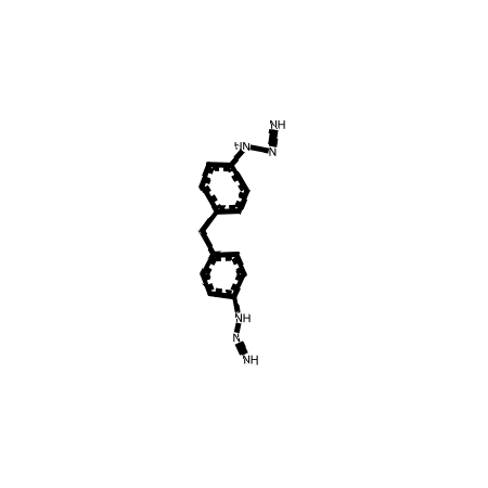 N=NNc1ccc(Cc2ccc(NN=N)cc2)cc1